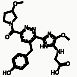 COc1nc(-c2nnc(C(=O)N3CCC(OC)C3)cc2Cc2ccc(O)cc2)[nH]c1NCC(=O)O